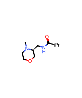 CC(C)C(=O)NC[C@H]1COCCN1C